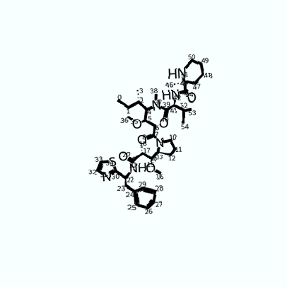 CC[C@H](C)C(C(CC(=O)N1CCC[C@H]1[C@H](OC)[C@@H](C)C(=O)N[C@@H](Cc1ccccc1)c1nccs1)OC)N(C)C(=O)[C@@H](NC(=O)[C@]1(C)CCCCN1)C(C)C